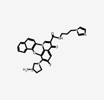 N[C@@H]1CCN(c2c(F)cc3c(=O)c(C(=O)NCCCn4ccnc4)cn4c3c2Oc2c-4ccc3ccccc23)C1